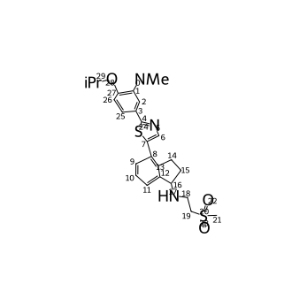 CNc1cc(-c2ncc(-c3cccc4c3CCC4NCCS(C)(=O)=O)s2)ccc1OC(C)C